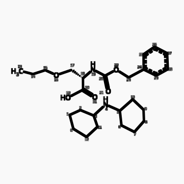 C1CCC(NC2CCCCC2)CC1.CCCOC[C@H](NC(=O)OCc1ccccc1)C(=O)O